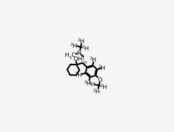 [2H]c1c([2H])c([C@@H](CN(C)C([2H])([2H])[2H])C2(O)CCCCC2)c([2H])c([2H])c1OC([2H])([2H])[2H]